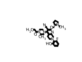 C=CC(=O)N1CCN(c2c(C#N)c(OC[C@@H]3CCCN3C)nc3c2CCN(c2c(O)cccc2F)C3)C[C@@H]1C